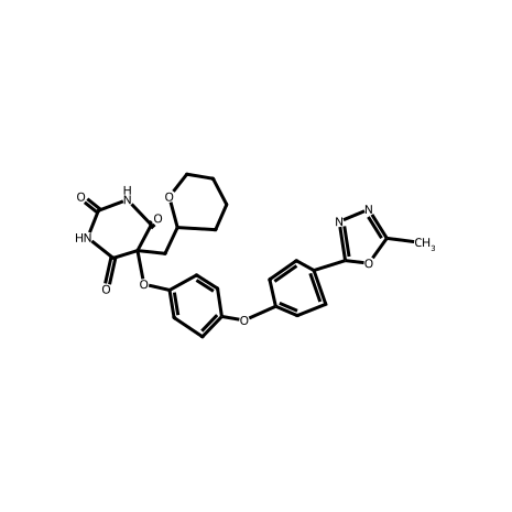 Cc1nnc(-c2ccc(Oc3ccc(OC4(CC5CCCCO5)C(=O)NC(=O)NC4=O)cc3)cc2)o1